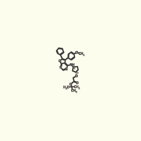 COc1ccc(-c2c(-c3ccccc3)oc3ncnc(N[C@H]4CC[C@H](OCC(=O)OC(C)(C)C)C4)c23)cc1